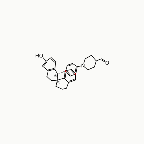 O=CC1CCN(c2ccc([C@H]3c4ccc(O)cc4CC[C@@]34CCCc3ccccc34)cc2)CC1